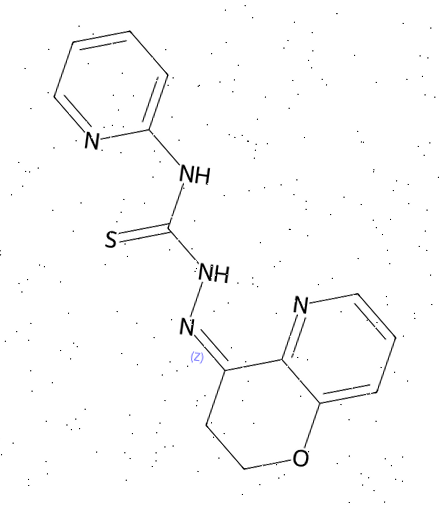 S=C(N/N=C1/CCOc2cccnc21)Nc1ccccn1